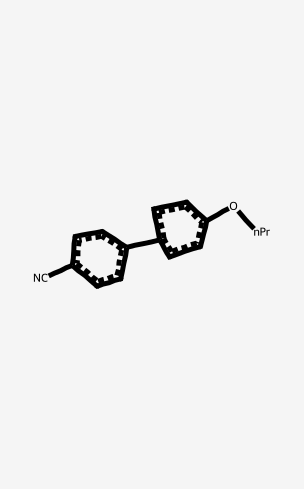 [CH2]CCOc1ccc(-c2ccc(C#N)cc2)cc1